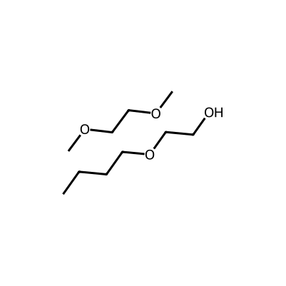 CCCCOCCO.COCCOC